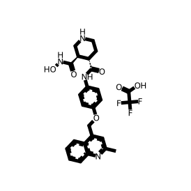 Cc1cc(COc2ccc(NC(=O)[C@H]3CCNC[C@@H]3C(=O)NO)cc2)c2ccccc2n1.O=C(O)C(F)(F)F